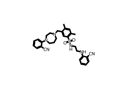 Cc1cc(C)c(S(=O)(=O)NCCNc2ccccc2C#N)cc1CN1CCCN(c2ccccc2C#N)CC1